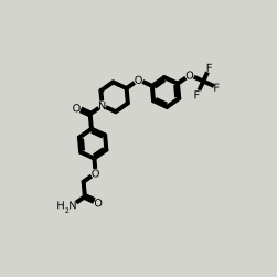 NC(=O)COc1ccc(C(=O)N2CCC(Oc3cccc(OC(F)(F)F)c3)CC2)cc1